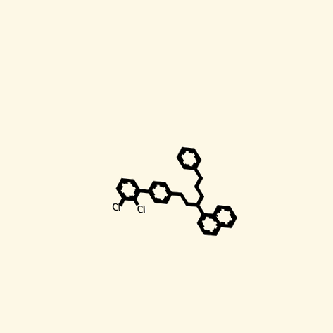 Clc1cccc(-c2ccc(CC[C](CCCc3ccccc3)c3cccc4ccccc34)cc2)c1Cl